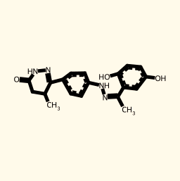 CC(=NNc1ccc(C2=NNC(=O)CC2C)cc1)c1cc(O)ccc1O